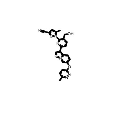 Cc1ccc(Oc2ccc3c(-c4ccc(CO)c(-n5nc(C#N)cc5C)n4)cnn3c2)nn1